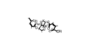 C=C(O)/C=C\C(=O)O[C@H]1CO[C@H]2[C@@H]1OC[C@H]2OC(=O)/C=C\C(=O)O